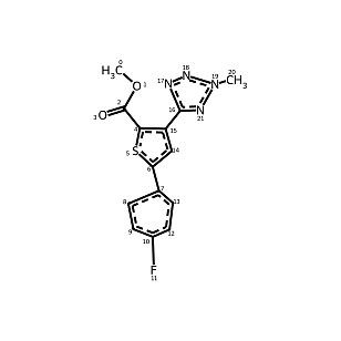 COC(=O)c1sc(-c2ccc(F)cc2)cc1-c1nnn(C)n1